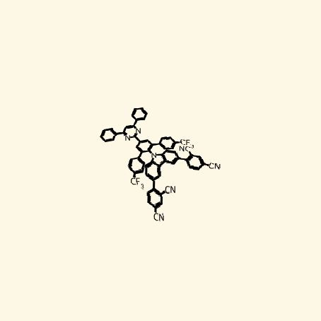 N#Cc1ccc(-c2ccc3c(c2)c2cc(-c4ccc(C#N)cc4C#N)ccc2n3-c2c(-c3ccc(C(F)(F)F)cc3)cc(-c3nc(-c4ccccc4)cc(-c4ccccc4)n3)cc2-c2ccc(C(F)(F)F)cc2)c(C#N)c1